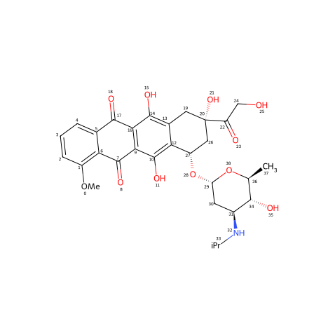 COc1cccc2c1C(=O)c1c(O)c3c(c(O)c1C2=O)C[C@@](O)(C(=O)CO)C[C@@H]3O[C@H]1C[C@H](NC(C)C)[C@@H](O)[C@H](C)O1